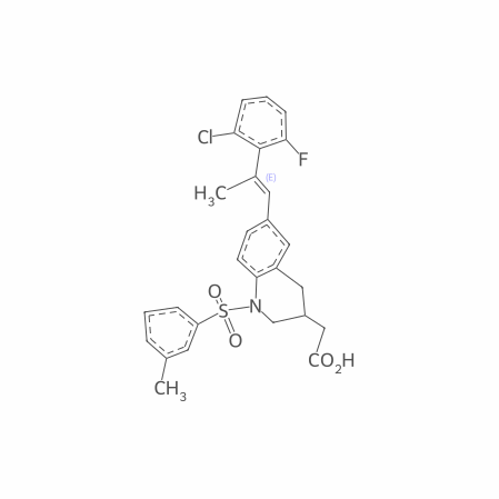 C/C(=C\c1ccc2c(c1)CC(CC(=O)O)CN2S(=O)(=O)c1cccc(C)c1)c1c(F)cccc1Cl